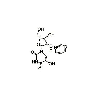 O=c1[nH]c(=O)n([C@@H]2O[C@H](CO)[C@@H](O)[C@H]2O)cc1O.c1cncnc1